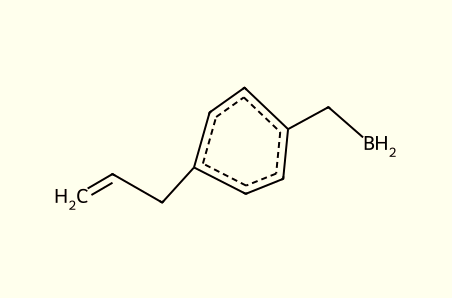 BCc1ccc(CC=C)cc1